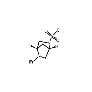 CC(C)N1C[C@@H]2C[C@H]1CN2S(C)(=O)=O